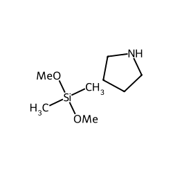 C1CCNC1.CO[Si](C)(C)OC